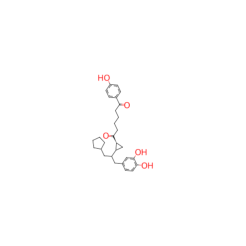 O=C(CCCCC(=O)[C@H]1CC1C(Cc1ccc(O)c(O)c1)CC1CCCC1)c1ccc(O)cc1